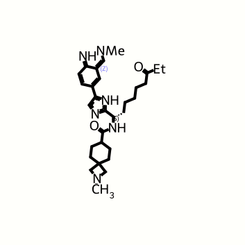 CCC(=O)CCCCC[C@H](NC(=O)C1CCC2(CC1)CN(C)C2)c1ncc(C2=C/C(=C/NC)C(=N)C=C2)[nH]1